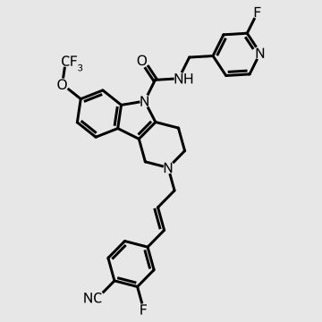 N#Cc1ccc(C=CCN2CCc3c(c4ccc(OC(F)(F)F)cc4n3C(=O)NCc3ccnc(F)c3)C2)cc1F